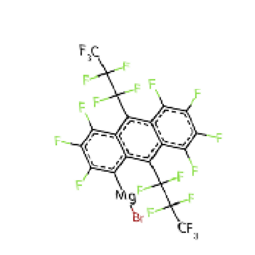 Fc1c(F)c(F)c2c(C(F)(F)C(F)(F)C(F)(F)F)c3[c]([Mg][Br])c(F)c(F)c(F)c3c(C(F)(F)C(F)(F)C(F)(F)F)c2c1F